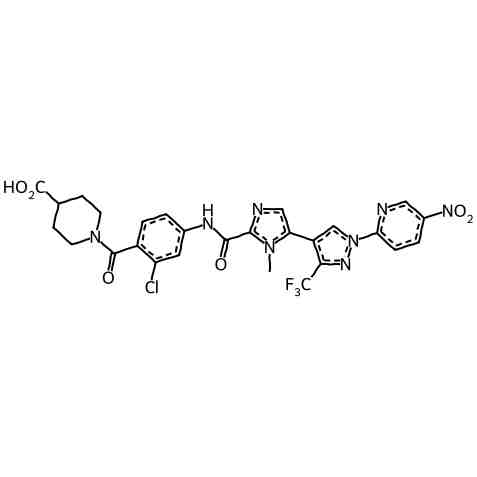 Cn1c(-c2cn(-c3ccc([N+](=O)[O-])cn3)nc2C(F)(F)F)cnc1C(=O)Nc1ccc(C(=O)N2CCC(C(=O)O)CC2)c(Cl)c1